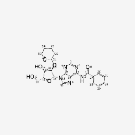 O=C(Nc1ncnc2c1ncn2[C@@H]1O[C@H](CO)[C@@H](O)[C@H]1OC1CCCCO1)c1ccccc1